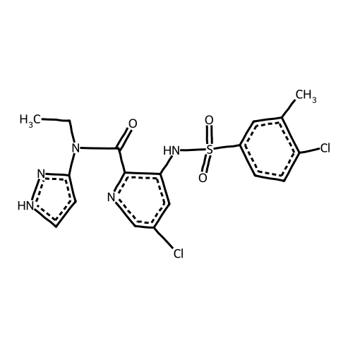 CCN(C(=O)c1ncc(Cl)cc1NS(=O)(=O)c1ccc(Cl)c(C)c1)c1cc[nH]n1